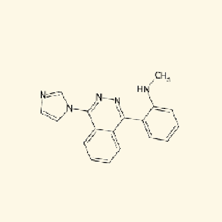 CNc1ccccc1-c1nnc(-n2ccnc2)c2ccccc12